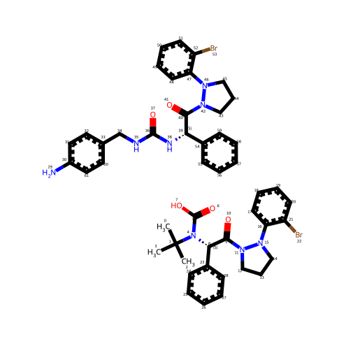 CC(C)(C)N(C(=O)O)[C@H](C(=O)N1CCCN1c1ccccc1Br)c1ccccc1.Nc1ccc(CNC(=O)N[C@H](C(=O)N2CCCN2c2ccccc2Br)c2ccccc2)cc1